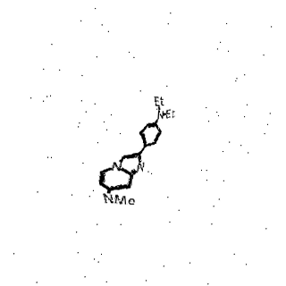 CCN(CC)c1ccc(-c2cn3ccc(NC)cc3n2)cc1